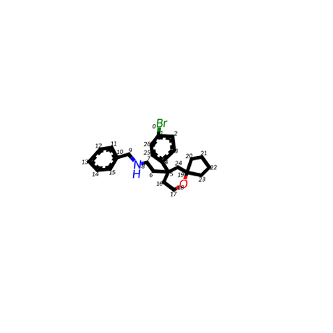 Brc1ccc(C2(CCNCc3ccccc3)CCOC3(CCCC3)C2)cc1